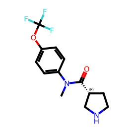 CN(C(=O)[C@@H]1CCNC1)c1ccc(OC(F)(F)F)cc1